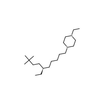 CC[C@H](CCCCCN1CCN(CC)CC1)CCC(C)(C)C